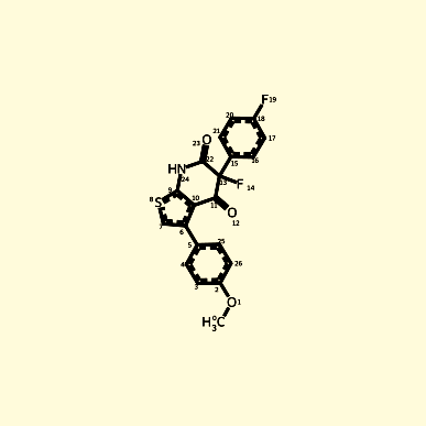 COc1ccc(-c2csc3c2C(=O)C(F)(c2ccc(F)cc2)C(=O)N3)cc1